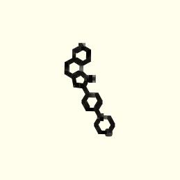 c1cc2c(ccc3cc(-c4ccc(N5CCOCC5)cc4)[nH]c32)cn1